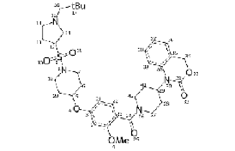 COc1cc(OC2CCN(S(=O)(=O)C3CCN(CC(C)(C)C)C3)CC2)ccc1C(=O)N1CCC(N2C(=O)OCc3ccccc32)CC1